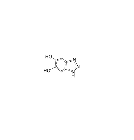 Oc1cc2nn[nH]c2cc1O